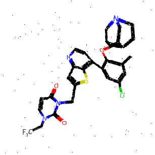 Cc1cc(Cl)cc(-c2ccnc3cc(Cn4c(=O)ccn(CC(F)(F)F)c4=O)sc23)c1OC1CN2CCC1CC2